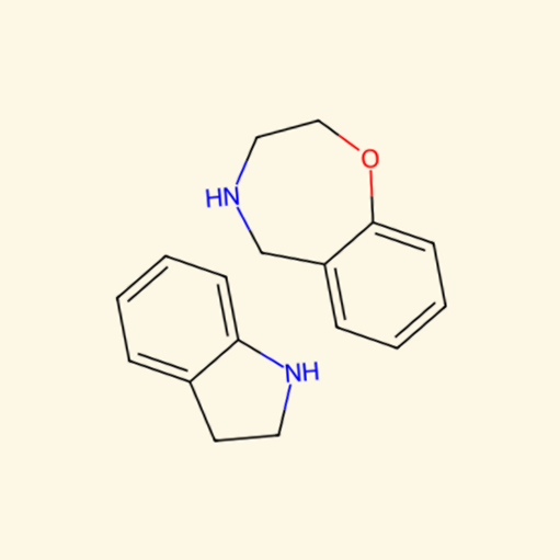 c1ccc2c(c1)CCN2.c1ccc2c(c1)CNCCO2